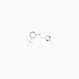 Cn1cc[n+](CC(=O)c2cccc(C(F)(F)F)c2)c1.[I-]